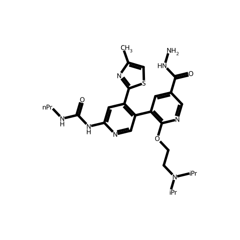 CCCNC(=O)Nc1cc(-c2nc(C)cs2)c(-c2cc(C(=O)NN)cnc2OCCN(C(C)C)C(C)C)cn1